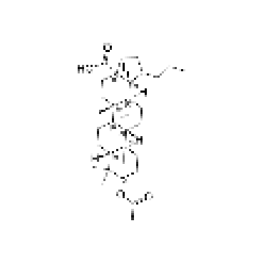 CCCC1CC[C@]2(C(=O)O)CC[C@]3(C)[C@H](CC[C@@H]4[C@@]5(C)CC[C@H](OC(C)=O)C(C)(C)[C@@H]5CC[C@]43C)[C@@H]12